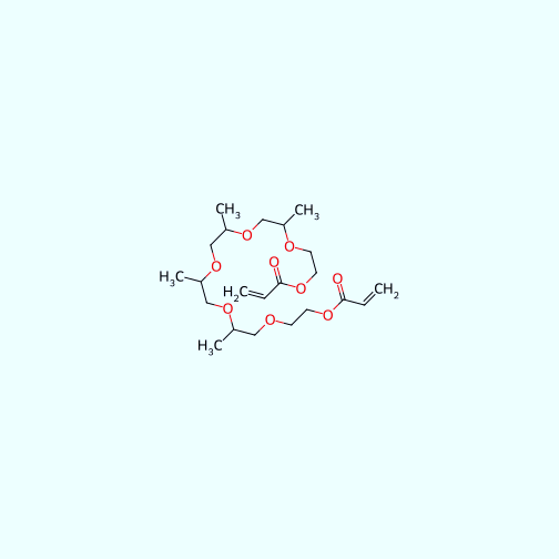 C=CC(=O)OCCOCC(C)OCC(C)OCC(C)OCC(C)OCCOC(=O)C=C